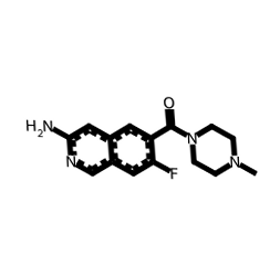 CN1CCN(C(=O)c2cc3cc(N)ncc3cc2F)CC1